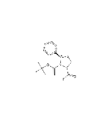 C=C(OC(C)(C)C)N1C(C(=O)I)CS[C@@H]1c1ccccc1